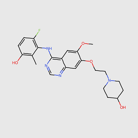 COc1cc2c(Nc3c(F)ccc(O)c3C)ncnc2cc1OCCN1CCC(O)CC1